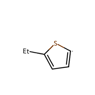 CCc1cc[c]s1